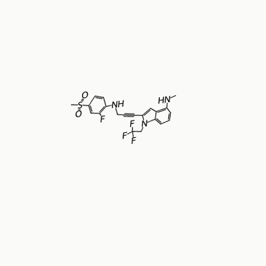 CNc1cccc2c1cc(C#CCNc1ccc(S(C)(=O)=O)cc1F)n2CC(F)(F)F